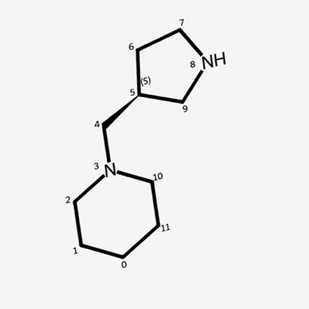 C1CCN(C[C@H]2CCNC2)CC1